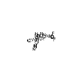 CN1CCN(c2ccc(C(=O)NC(=N)c3ccc(NCc4cc(F)cc(F)c4)nc3N)c(NC3CCOCC3)c2)CC1